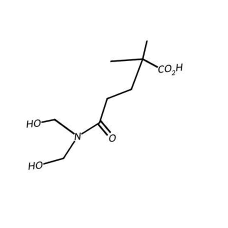 CC(C)(CCC(=O)N(CO)CO)C(=O)O